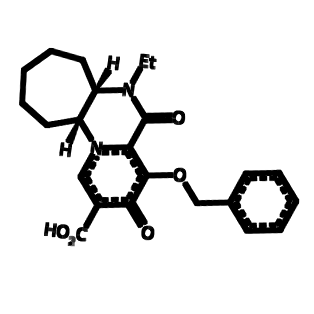 CCN1C(=O)c2c(OCc3ccccc3)c(=O)c(C(=O)O)cn2[C@@H]2CCCCC[C@@H]21